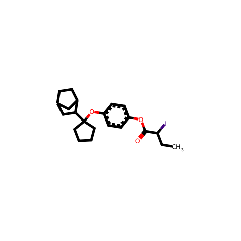 CCC(I)C(=O)Oc1ccc(OC2(C3CC4CCC3C4)CCCC2)cc1